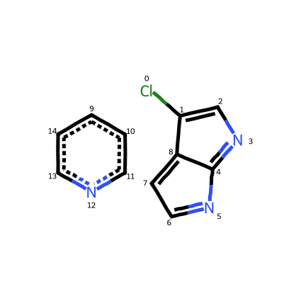 ClC1=CN=C2N=CC=C12.c1ccncc1